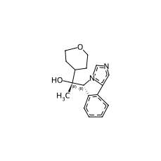 C[C@@](O)(C1CCOCC1)[C@H]1c2ccccc2-c2cncn21